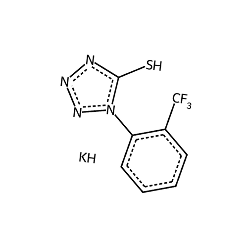 FC(F)(F)c1ccccc1-n1nnnc1S.[KH]